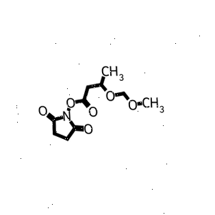 COCOC(C)CC(=O)ON1C(=O)CCC1=O